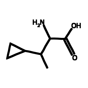 CC(C1CC1)C(N)C(=O)O